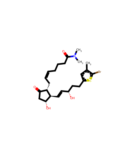 Cc1cc(CC[C@H](O)/C=C/[C@H]2[C@H](O)CC(=O)[C@@H]2C/C=C\CCCC(=O)N(C)C)sc1Br